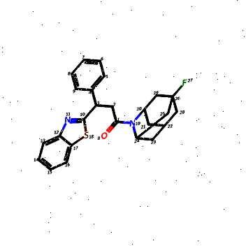 O=C(CC(c1ccccc1)c1nc2ccccc2s1)N1C2CC3CC1CC(F)(C3)C2